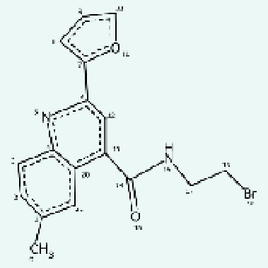 Cc1ccc2nc(-c3ccco3)cc(C(=O)NCCBr)c2c1